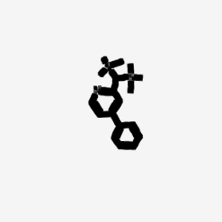 CS(C)(C)C(c1cc(-c2ccccc2)ccn1)S(C)(C)C